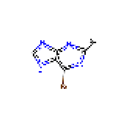 [2H]c1nc(Br)c2[nH]cnc2n1